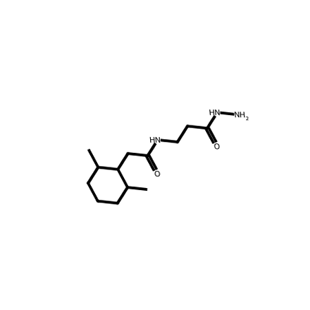 CC1CCCC(C)C1CC(=O)NCCC(=O)NN